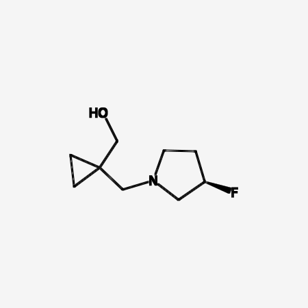 OCC1(CN2CC[C@@H](F)C2)CC1